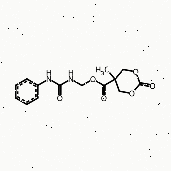 CC1(C(=O)OCNC(=O)Nc2ccccc2)COC(=O)OC1